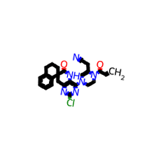 C=CC(=O)N1CCN(c2nc(Cl)nc3c2NC(=O)C2(CCCc4ccccc42)C3)C=C1CC#N